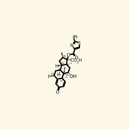 CC(C)c1nc(C(=O)O[C@]2(C(=O)O)[C@H](C)C[C@H]3[C@@H]4C[C@H](F)C5=CC(=O)C=C[C@]5(C)[C@@]4(F)[C@@H](O)C[C@@]32C)cs1